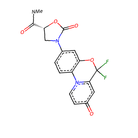 CNC(=O)[C@H]1CN(c2ccc3c(c2)OC(F)(F)c2cc(=O)ccn2-3)C(=O)O1